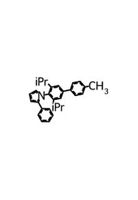 Cc1ccc(-c2cc(C(C)C)c(-n3cccc3-c3ccccc3)c(C(C)C)c2)cc1